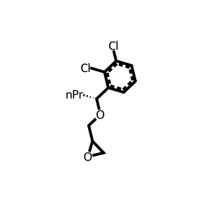 CCC[C@@H](OCC1CO1)c1cccc(Cl)c1Cl